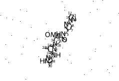 COC1(C(=O)NCc2ccc(-n3cccn3)nc2)CCN(c2cc(C)cc(Nc3cc(C)[nH]n3)n2)CC1